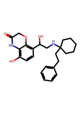 O=C1COc2c(C(O)CNC3(CCc4ccccc4)CCCCC3)ccc(O)c2N1